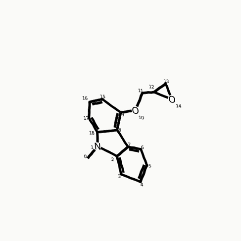 Cn1c2ccccc2c2c(OCC3CO3)cccc21